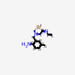 C=C/N=C(/Br)CN(C)Cc1cc(C)ccc1N